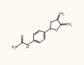 C=C1OB(c2ccc(NC(N)=O)cc2)OC1=C